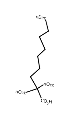 CCCCCCCCCCCCCCCCC(CCCCCCCC)(CCCCCCCC)C(=O)O